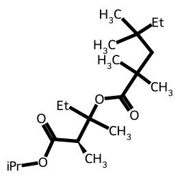 CCC(C)(C)CC(C)(C)C(=O)OC(C)(CC)[C@@H](C)C(=O)OC(C)C